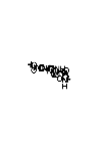 COc1nc(N2CCN(C(=O)OC(C)(C)C)CC2)ccc1NC(=O)c1coc2c1C(=O)NC(C)(C)C2